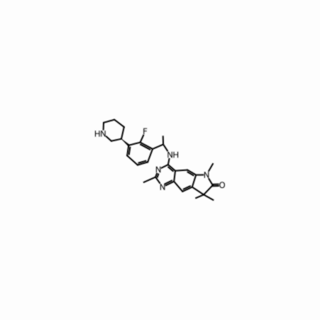 Cc1nc(NC(C)c2cccc([C@@H]3CCCNC3)c2F)c2cc3c(cc2n1)C(C)(C)C(=O)N3C